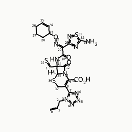 C=CCn1nnnc1C1=C(C(=O)O)N2C(=O)C(C=S)(NC(=O)C(=NOC3C=CCCC3)c3nsc(N)n3)[C@@H]2SC1